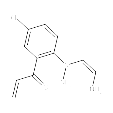 C=CC(=O)c1cc(Cl)ccc1N(N)/C=C\N